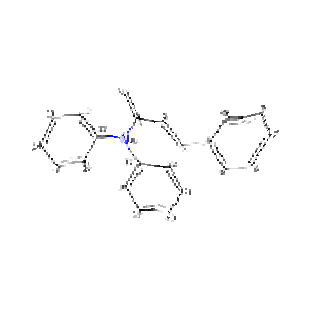 C=C(C=Cc1ccccc1)N(c1ccccc1)c1ccccc1